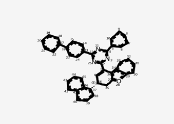 C1=C(c2nc(-c3ccccc3)nc(-c3ccc(-c4ccccc4)cc3)n2)c2c(oc3ccccc23)C[C@@H]1c1cccc2ccccc12